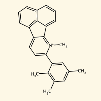 Cc1cc(C)c(C)c(-c2ccc3c([n+]2C)-c2cccc4cccc-3c24)c1